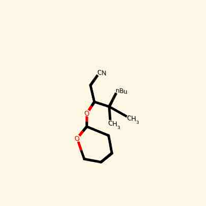 CCCCC(C)(C)C(CC#N)OC1CCCCO1